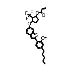 C=CC(=O)OC1CCC(Oc2ccc3cc(-c4ccc(CCCCC)cc4OC)sc3c2)C1C(F)(F)F